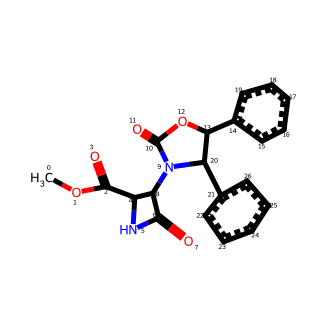 COC(=O)C1NC(=O)C1N1C(=O)OC(c2ccccc2)C1c1ccccc1